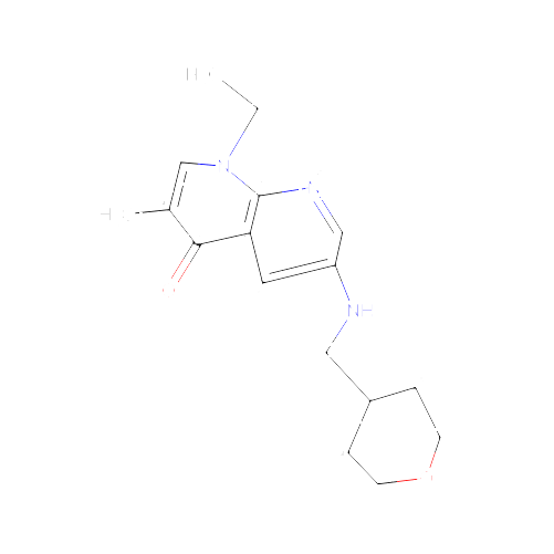 CCn1cc(C)c(=O)c2cc(NCC3CCOCC3)cnc21